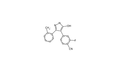 [CH2]c1ccccc1C1=N[N]C(O)=C1c1ccc(C#N)c(F)c1